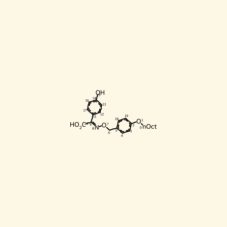 CCCCCCCCOc1ccc(CON=C(C(=O)O)c2ccc(O)cc2)cc1